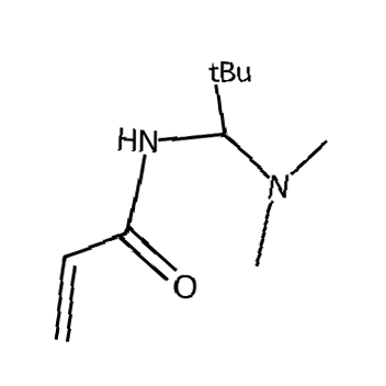 C=CC(=O)NC(N(C)C)C(C)(C)C